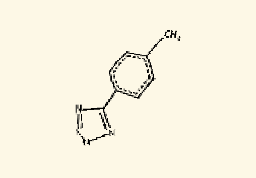 Cc1ccc(C2=N[N]N=N2)cc1